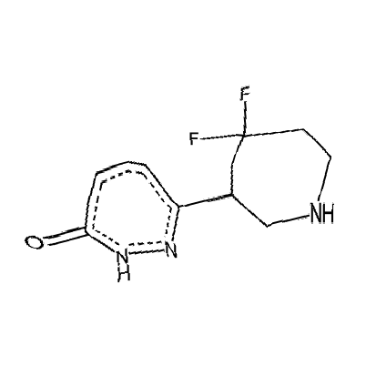 O=c1ccc(C2CNCCC2(F)F)n[nH]1